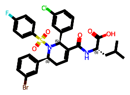 CC(C)C[C@H](NC(=O)C1=CC[C@@H](c2cccc(Br)c2)N(S(=O)(=O)c2ccc(F)cc2)[C@H]1c1cccc(Cl)c1)C(=O)O